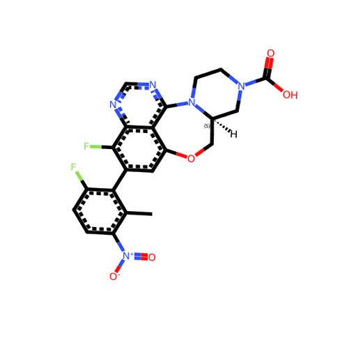 Cc1c([N+](=O)[O-])ccc(F)c1-c1cc2c3c(ncnc3c1F)N1CCN(C(=O)O)C[C@H]1CO2